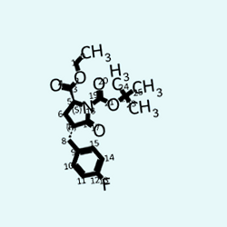 CCOC(=O)[C@@H]1C[C@@H](Cc2ccc(F)cc2)C(=O)N1C(=O)OC(C)(C)C